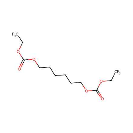 O=C(OCCCCCCOC(=O)OCC(F)(F)F)OCC(F)(F)F